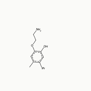 Cc1cc(OCCN)c(O)cc1C(C)C